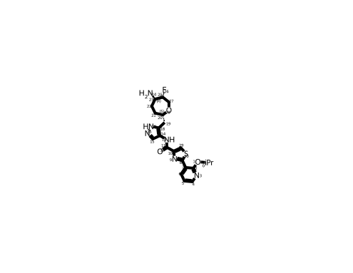 CC(C)Oc1ncccc1-c1nc(C(=O)Nc2cn[nH]c2C[C@@H]2CC[C@@H](N)[C@H](F)CO2)cs1